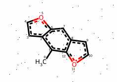 Cc1c2ccoc2cc2ccoc12